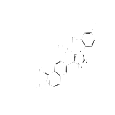 Cc1c(-c2ccc3c(=O)n(C)ccc3c2)nnn1-c1ccc(F)cc1F